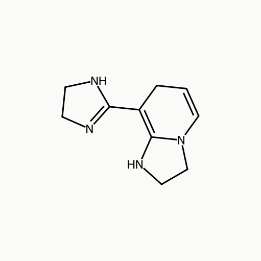 C1=CN2CCNC2=C(C2=NCCN2)C1